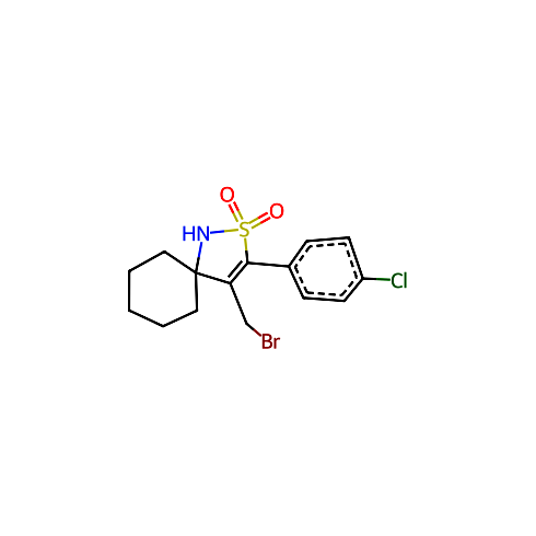 O=S1(=O)NC2(CCCCC2)C(CBr)=C1c1ccc(Cl)cc1